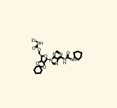 CCNC(=O)OC[C@H]1O[C@@H](n2cnc3c(NC(=O)NC4CCCCC4)ncnc32)C2OC3(CCCCC3)OC21